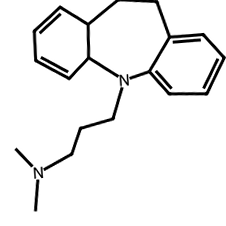 CN(C)CCCN1c2ccccc2CCC2C=CC=CC21